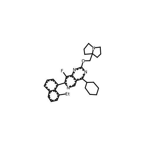 CCc1cccc2cccc(-c3ncc4c(C5CCCCC5)nc(OCC56CCCN5CCC6)nc4c3F)c12